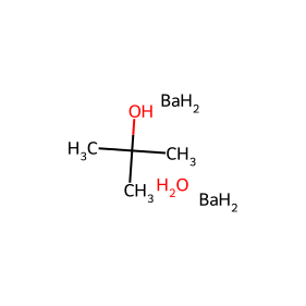 CC(C)(C)O.O.[BaH2].[BaH2]